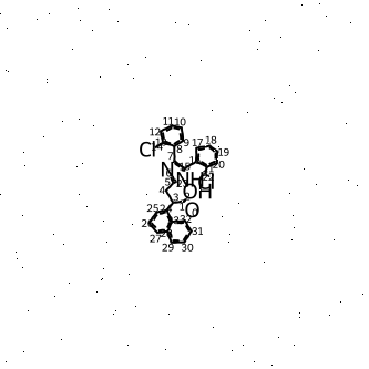 O=C(O)C(Cc1nc(-c2ccccc2Cl)c(-c2ccccc2Cl)[nH]1)c1cccc2ccccc12